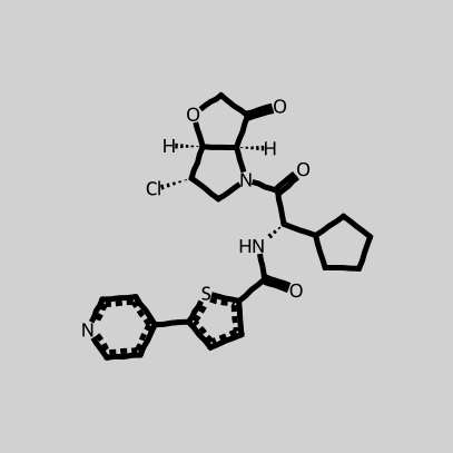 O=C(N[C@H](C(=O)N1C[C@H](Cl)[C@H]2OCC(=O)[C@H]21)C1CCCC1)c1ccc(-c2ccncc2)s1